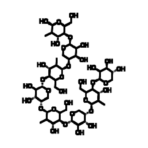 CC1[C@@H](O[C@H]2CO[C@@H](O[C@@H]3C(CO)O[C@H](O[C@H]4CO[C@@H](O[C@@H]5C(CO)O[C@H](O[C@H]6CO[C@@H](O[C@@H]7C(CO)O[C@H](O)C(C)[C@H]7O)C(O)[C@H]6O)C(C)[C@H]5O)C(O)[C@H]4O)C(C)[C@H]3O)C(O)[C@H]2O)OC(CO)[C@@H](O[C@@H]2OC[C@@H](O)[C@H](O)C2O)[C@@H]1O